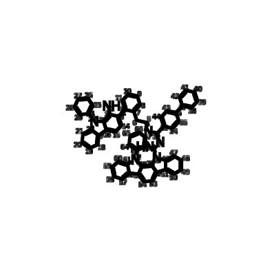 N=C(/N=C(\N=C\Cc1ccccc1-c1ccc2c3ccccc3n(-c3ccccc3)c2c1N)c1ccc(-c2ccccc2)cc1)n1c2ccccc2c2ccc3c4ccccc4n(-c4ccccc4)c3c21